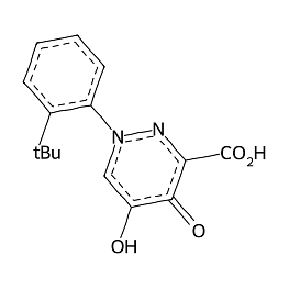 CC(C)(C)c1ccccc1-n1cc(O)c(=O)c(C(=O)O)n1